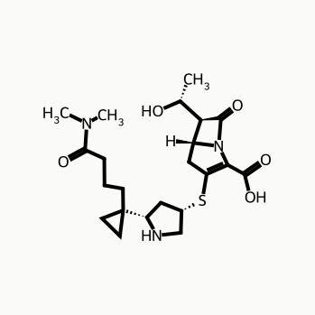 C[C@@H](O)[C@H]1C(=O)N2C(C(=O)O)=C(S[C@@H]3CN[C@H](C4(CCCC(=O)N(C)C)CC4)C3)C[C@H]12